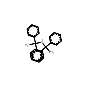 PC(NC(P)(c1ccccc1)c1ccccc1)(c1ccccc1)c1ccccc1